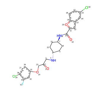 O=C(CN[C@H]1CC[C@H](NC(=O)c2cc3cc(Cl)ccc3o2)CC1)COc1ccc(Cl)c(F)c1